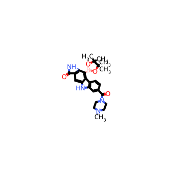 CN1CCN(C(=O)c2ccc3c(c2)[nH]c2cc(C(N)=O)cc(B4OC(C)(C)C(C)(C)O4)c23)CC1